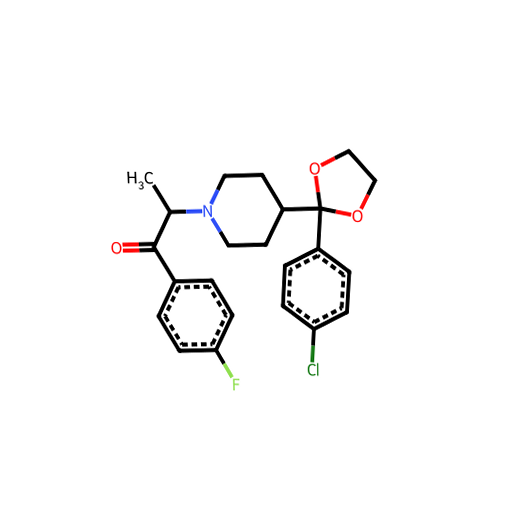 CC(C(=O)c1ccc(F)cc1)N1CCC(C2(c3ccc(Cl)cc3)OCCO2)CC1